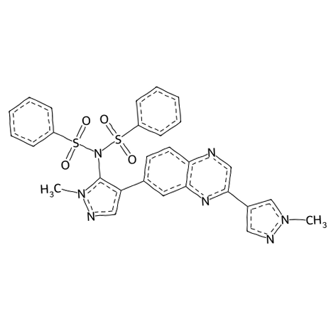 Cn1cc(-c2cnc3ccc(-c4cnn(C)c4N(S(=O)(=O)c4ccccc4)S(=O)(=O)c4ccccc4)cc3n2)cn1